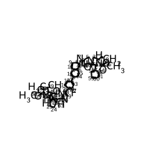 C=CCCN(Cc1nc2ccc3cc(-c4ccc(-c5cnc(C6[C@H]7CC[C@H](C7)N6C(=O)[C@@H](NC(=O)OC)C(C)C)[nH]5)c(F)c4)ccc3c2[nH]1)C(=O)[C@H](NC(=O)OC)c1ccccc1